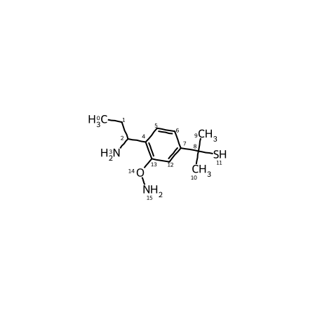 CCC(N)c1ccc(C(C)(C)S)cc1ON